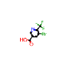 O=C(O)c1cnc(C(F)(F)F)c(Br)c1